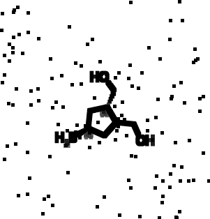 B[C@@H]1CC(CO)[C@@H](CO)C1